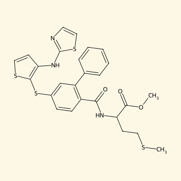 COC(=O)C(CCSC)NC(=O)c1ccc(Sc2sccc2Nc2nccs2)cc1-c1ccccc1